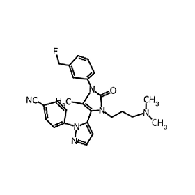 Cc1c(-c2ccnn2-c2ccc(C#N)cc2)n(CCCN(C)C)c(=O)n1-c1cccc(CF)c1